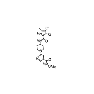 CONC(=O)c1cncc(N2CCC(NC(=O)c3[nH]c(C)c(Cl)c3Cl)CC2)c1